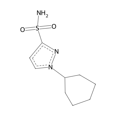 NS(=O)(=O)c1ccn(C2CCCCC2)n1